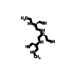 CCN[C@H](CS)CN[C@H](CCS)CN[C@H](CS)CNC